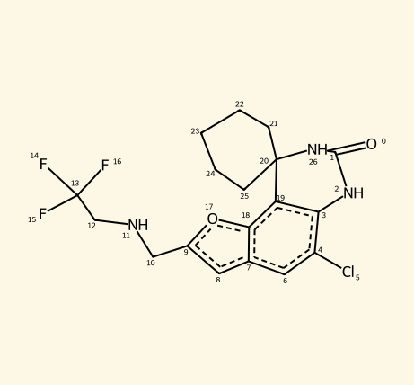 O=C1Nc2c(Cl)cc3cc(CNCC(F)(F)F)oc3c2C2(CCCCC2)N1